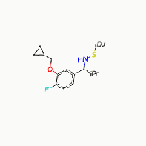 CC(C)C(NSC(C)(C)C)c1ccc(F)c(OCC2CC2)c1